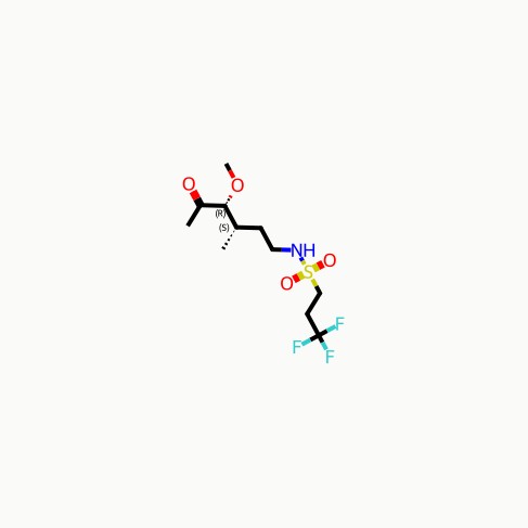 CO[C@@H](C(C)=O)[C@@H](C)CCNS(=O)(=O)CCC(F)(F)F